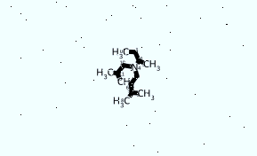 CCC(C)N(CCC(C)C)CC(C)C